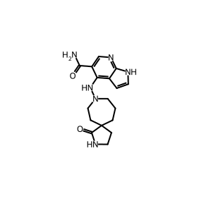 NC(=O)c1cnc2[nH]ccc2c1NN1CCCC2(CCNC2=O)CC1